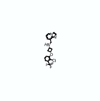 FC(F)(F)c1cccc(O[C@H]2C[C@@H](NCc3cccn4ccnc34)C2)c1Cl